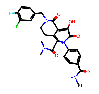 CCNC(=O)c1ccc(-n2c(C(=O)N(C)C)c3c(c(O)c2=O)C(=O)N(Cc2ccc(F)c(Cl)c2)CC3)cc1